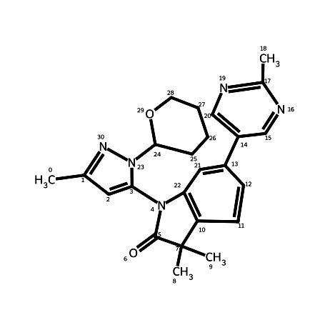 Cc1cc(N2C(=O)C(C)(C)c3ccc(-c4cnc(C)nc4)cc32)n(C2CCCCO2)n1